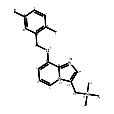 Cc1ccc(C)c(COc2cccn3c(C[N+](C)(C)C)cnc23)c1